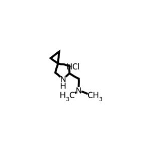 CN(C)CC1CC2(CC2)CN1.Cl